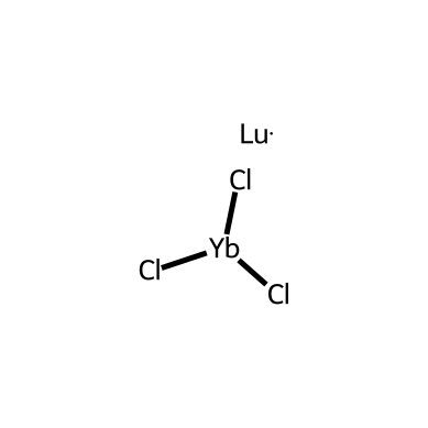 [Cl][Yb]([Cl])[Cl].[Lu]